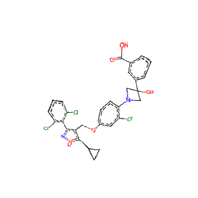 O=C(O)c1cccc(C2(O)CN(c3ccc(OCc4c(-c5c(Cl)cccc5Cl)noc4C4CC4)cc3Cl)C2)c1